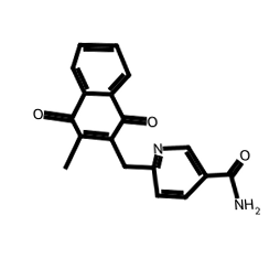 CC1=C(Cc2ccc(C(N)=O)cn2)C(=O)c2ccccc2C1=O